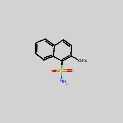 COc1ccc2ccccc2c1S(N)(=O)=O